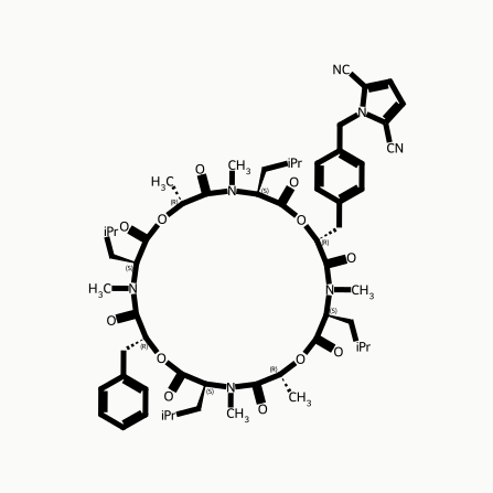 CC(C)C[C@H]1C(=O)O[C@H](Cc2ccc(Cn3c(C#N)ccc3C#N)cc2)C(=O)N(C)[C@@H](CC(C)C)C(=O)O[C@H](C)C(=O)N(C)[C@@H](CC(C)C)C(=O)O[C@H](Cc2ccccc2)C(=O)N(C)[C@@H](CC(C)C)C(=O)O[C@H](C)C(=O)N1C